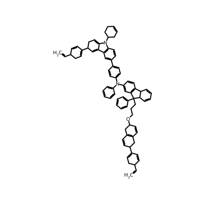 C=CC1C=CC(C2C=c3c(n(C4CC=CCC4)c4ccc(-c5ccc(N(c6ccccc6)c6ccc7c(c6)C(CCCOC6C=CC8=C(C=CC(C9=CCC(C=C)C=C9)C8)C6)(c6ccccc6)C6C=CC=CC76)cc5)cc34)=CC2)=CC1